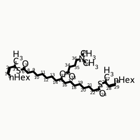 CCCCCC/C=C\C(C)SC(=O)CCCCCCCC(CCCCCCCC(=O)SC(C)/C=C\CCCCCC)OC(=O)CCCN(C)C